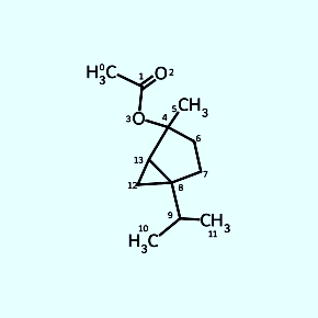 CC(=O)OC1(C)CCC2(C(C)C)CC12